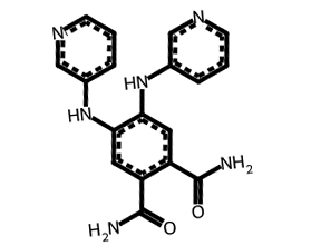 NC(=O)c1cc(Nc2cccnc2)c(Nc2cccnc2)cc1C(N)=O